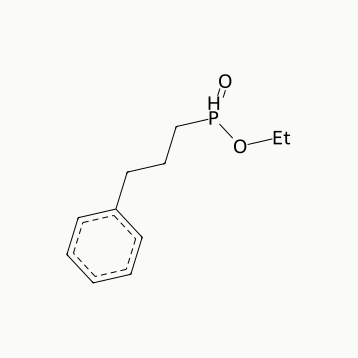 CCO[PH](=O)CCCc1ccccc1